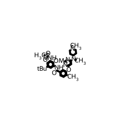 COc1c(NC(=O)c2ccc(C)c(Oc3cc(N(C)C4CCN(C)CC4)ncn3)c2)cc(C(C)(C)C)cc1NS(C)(=O)=O